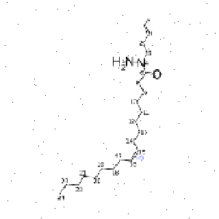 C=CCCN(N)C(=O)CCCCCCC/C=C\CCCCCCCC